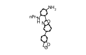 CCCNc1ccc(N)cc1-c1nc2cc(-c3ccc4c(c3)OOC4)ccc2o1